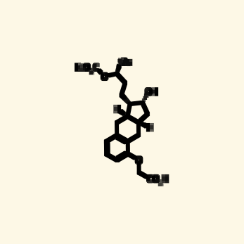 CCOC(=O)O[C@H](CC[C@@H]1[C@H]2Cc3cccc(OCC(=O)O)c3C[C@H]2C[C@H]1O)C(C)(C)C